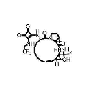 CC(N)(O)[C@@]12C[C@H]1/C=C\CCCCC[C@H](Nc1c(NCC(F)(F)F)c(=O)c1=O)C(=O)N1CCC[C@H]1C(=O)N2